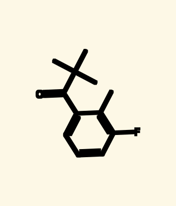 Cc1c(F)cccc1C(=O)C(C)(C)C